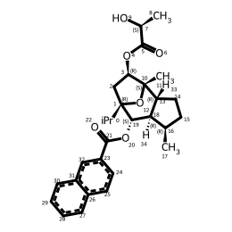 CC(C)[C@@]12C[C@@H](OC(=O)[C@H](C)O)[C@@](C)(O1)[C@@H]1CC[C@@H](C)[C@H]1[C@@H]2OC(=O)c1ccc2ccccc2c1